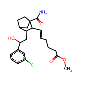 COC(=O)CCCC=CC1C(CC(O)c2cccc(Cl)c2)C2CCC1(C(N)=O)C2